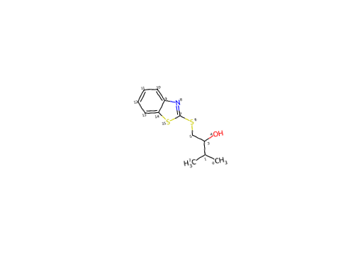 CC(C)C(O)CSc1nc2ccccc2s1